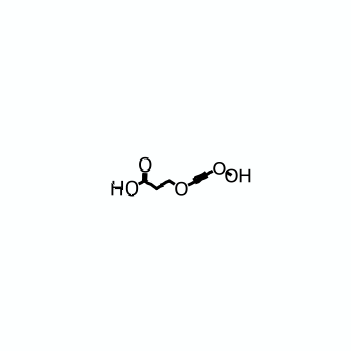 O=C(O)CCOC#COO